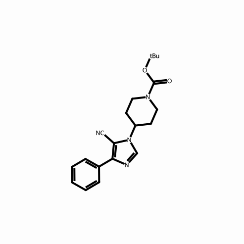 CC(C)(C)OC(=O)N1CCC(n2cnc(-c3ccccc3)c2C#N)CC1